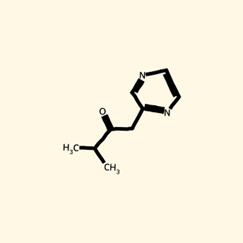 C[C](C)C(=O)Cc1cnccn1